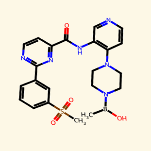 CB(O)N1CCN(c2ccncc2NC(=O)c2ccnc(-c3cccc(S(C)(=O)=O)c3)n2)CC1